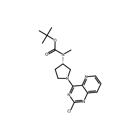 CN(C(=O)OC(C)(C)C)[C@H]1CCN(c2nc(Cl)nc3cccnc23)C1